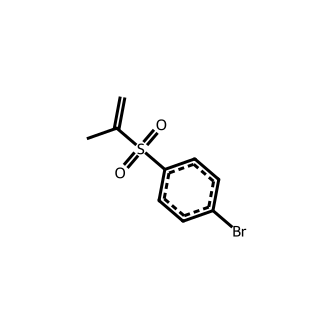 C=C(C)S(=O)(=O)c1ccc(Br)cc1